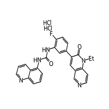 CCn1c(=O)c(-c2ccc(F)c(NC(=O)Nc3cccc4ncccc34)c2)cc2cnccc21.Cl.Cl